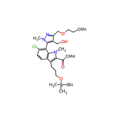 COCCOCc1nn(C)c(-c2c(Cl)ccc3c(CCCO[Si](C)(C)C(C)(C)C)c(C(=O)OC)n(C)c23)c1CO